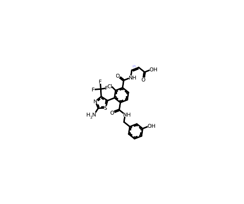 Nc1nc(C(F)(F)F)c(-c2c(C(=O)NCc3cccc(O)c3)ccc(C(=O)N/C=C\C(=O)O)c2Cl)s1